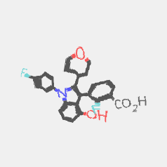 O=C(O)c1cccc(-c2c(C3CCOCC3)n(-c3ccc(F)cc3)c3cccc(O)c23)c1F